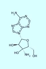 Nc1ncnc2c1ncn2[C@@H]1O[C@H](CO)[C@@](N)(O)[C@H]1O